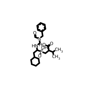 CC(C)C(CP(=O)(O)C(CC1CCCCC1)NCN(C=O)Cc1ccccc1)C(=O)O